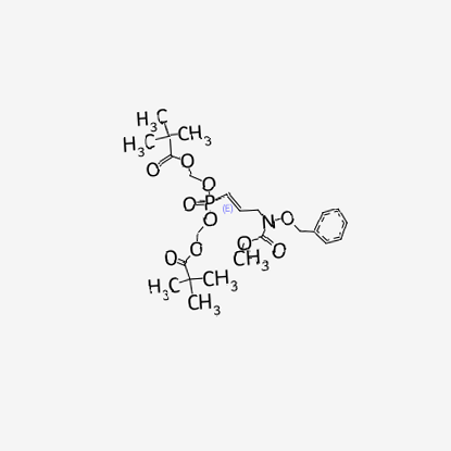 COC(=O)N(C/C=C/P(=O)(OCOC(=O)C(C)(C)C)OCOC(=O)C(C)(C)C)OCc1ccccc1